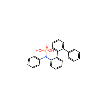 O=P(O)(O)N(c1ccccc1)c1ccccc1-c1ccccc1-c1ccccc1